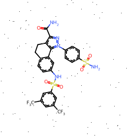 NC(=O)c1nn(-c2ccc(S(N)(=O)=O)cc2)c2c1CCc1ccc(NS(=O)(=O)c3cc(C(F)(F)F)cc(C(F)(F)F)c3)cc1-2